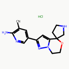 Cl.N#Cc1cc(-c2cc3n(n2)CCOC32CCNC2)cnc1N